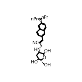 CCCN(CCC)c1ccc2cc(/C=C(\C#N)SNC3CC(O)[C@@H](CO)OC3O)ccc2c1